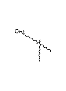 CCCCCCCCC(CCCCCC)C(=O)OCCCCCCNCCN1CCCC1